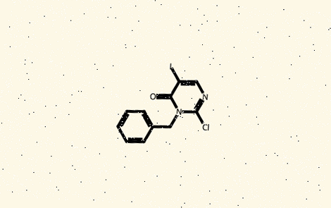 O=c1c(I)cnc(Cl)n1Cc1ccccc1